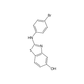 Oc1ccc2sc(Nc3ccc(Br)cc3)nc2c1